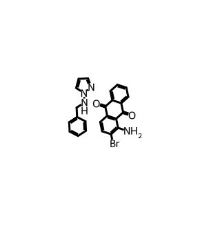 Nc1c(Br)ccc2c1C(=O)c1ccccc1C2=O.c1ccc(CNn2cccn2)cc1